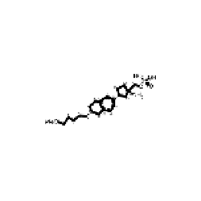 COCCCCC[C@@H]1CCc2cc([C@@H]3CC[C@](N)(COP(=O)(O)O)C3)ccc2C1